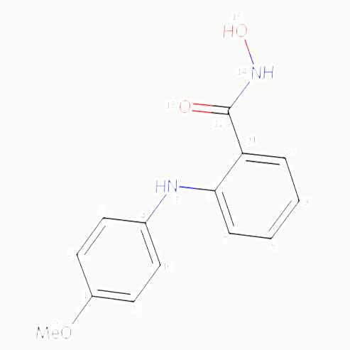 COc1ccc(Nc2ccccc2C(=O)NO)cc1